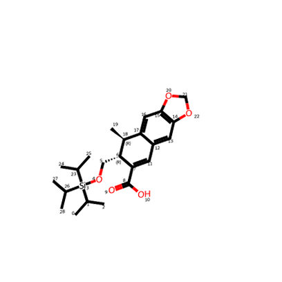 CC(C)[Si](OC[C@H]1C(C(=O)O)=Cc2cc3c(cc2[C@@H]1C)OCO3)(C(C)C)C(C)C